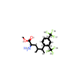 COC(=O)C(N)CC(C)C(C)c1ccc(C(F)(F)F)cc1C(F)(F)F